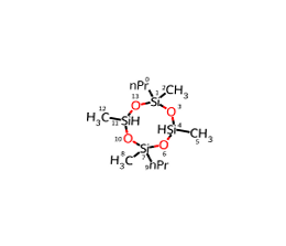 CCC[Si]1(C)O[SiH](C)O[Si](C)(CCC)O[SiH](C)O1